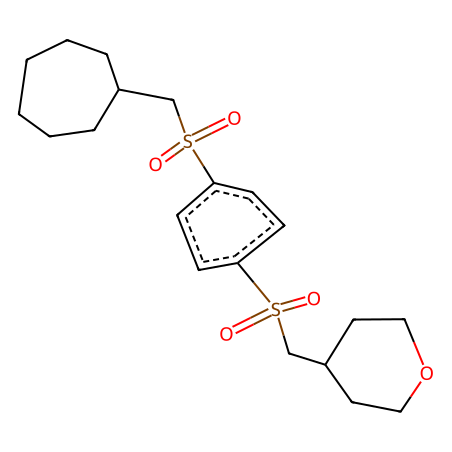 O=S(=O)(CC1CCCCCC1)c1ccc(S(=O)(=O)CC2CCOCC2)cc1